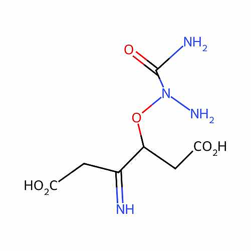 N=C(CC(=O)O)C(CC(=O)O)ON(N)C(N)=O